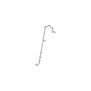 CCC=CCC=CCC=CCCCCCCCC(=O)[CH]CCCCCCC/C=C\C/C=C\C/C=C\CC